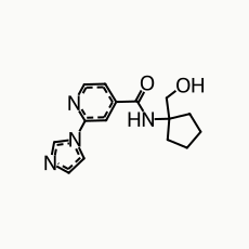 O=C(NC1(CO)CCCC1)c1ccnc(-n2ccnc2)c1